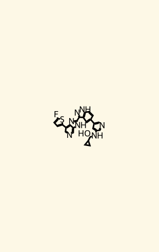 OC(Nc1cncc(-c2ccc3[nH]nc(-c4nc5c(-c6ccc(F)s6)cncc5[nH]4)c3c2)c1)C1CC1